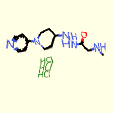 CNCC(=O)NNC1CCN(c2ccncc2)CC1.Cl.Cl.Cl